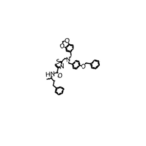 CC(CCc1ccccc1)NC(=O)c1csc(CN(Cc2ccc(OCc3ccccc3)cc2)Cc2ccc3c(c2)OCO3)n1